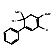 COC1=C(O)C=C(c2ccccc2)C(C=O)(OC)C1